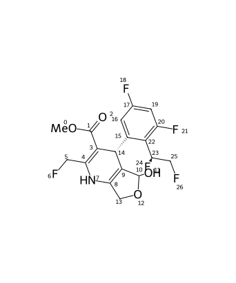 COC(=O)C1=C(CF)NC2=C(C(O)OC2)[C@H]1c1cc(F)cc(F)c1[C@H](F)CF